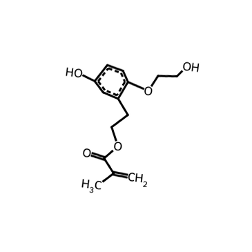 C=C(C)C(=O)OCCc1cc(O)ccc1OCCO